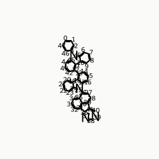 c1ccc(-n2c3ccccc3c3c(-c4cccc5c4c4ccccc4n5-c4ccc5c6c(cccc46)-c4ncncc4-5)cccc32)cc1